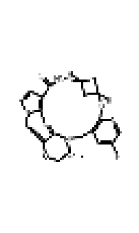 C[C@@H]1COc2cn3ncc4c3nc2N1Cc1cc(F)cnc1O[C@H]1C[C@H](C1)NC4=O